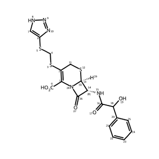 O=C(O)C1=C(SCSc2c[nH]nn2)CS[C@H]2[C@H](NC(=O)C(O)c3ccccc3)C(=O)N12